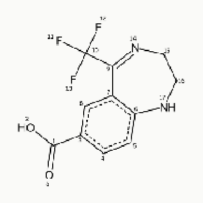 O=C(O)c1ccc2c(c1)C(C(F)(F)F)=NCCN2